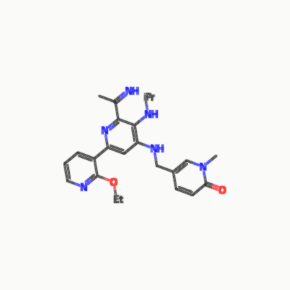 CCOc1ncccc1-c1cc(NCc2ccc(=O)n(C)c2)c(NC(C)C)c(C(C)=N)n1